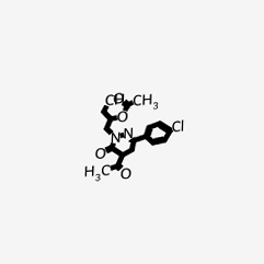 CCC(CN1N=C(c2ccc(Cl)cc2)CC(C(C)=O)C1=O)OC(C)=O